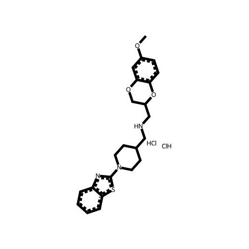 COc1ccc2c(c1)OCC(CNCC1CCN(c3nc4ccccc4s3)CC1)O2.Cl.Cl